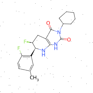 Cc1ccc(F)c([C@@H]2Nc3[nH]c(=O)n(C4CCCCC4)c(=O)c3C[C@@H]2F)c1